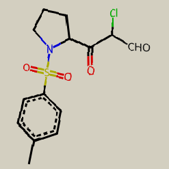 Cc1ccc(S(=O)(=O)N2CCCC2C(=O)C(Cl)C=O)cc1